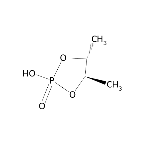 C[C@H]1OP(=O)(O)O[C@@H]1C